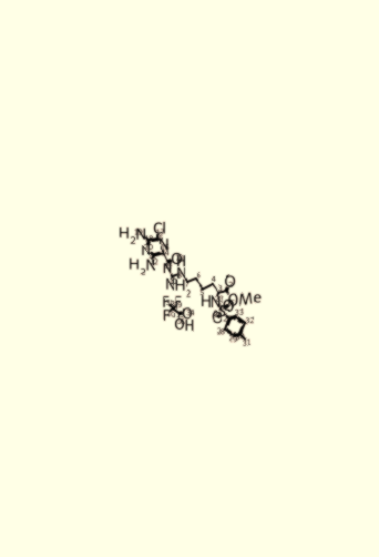 COC(=O)[C@H](CCCCNC(N)=NC(=O)c1nc(Cl)c(N)nc1N)NS(=O)(=O)c1ccc(C)cc1.O=C(O)C(F)(F)F